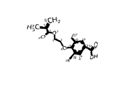 C=C(C)C(=O)OCCOc1c(I)cc(C(=O)O)cc1I